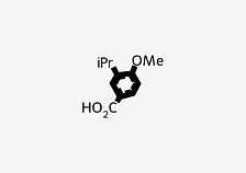 COc1ccc(C(=O)O)cc1C(C)C